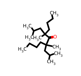 CCCCC(C)(CC(C)C)C(=O)C(C)(CCCC)CC(C)C